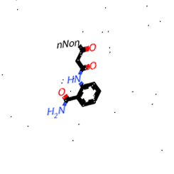 CCCCCCCCCC(=O)CC(=O)Nc1ccccc1C(N)=O